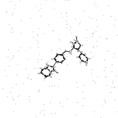 Cc1c(-c2ccc(COc3nn(C)cc3-c3ccncc3)cc2)nc2ccccn12